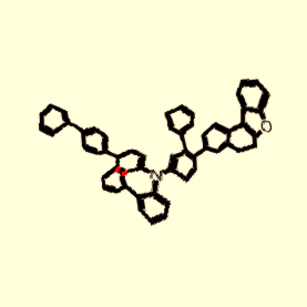 c1ccc(-c2ccc(-c3ccc(N(c4ccc(-c5ccc6c(c5)CCc5oc7ccccc7c5-6)c(-c5ccccc5)c4)c4ccccc4-c4ccccc4)cc3)cc2)cc1